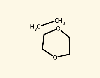 C1COCCO1.CC